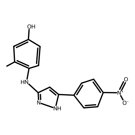 Cc1cc(O)ccc1Nc1cc(-c2ccc([N+](=O)[O-])cc2)[nH]n1